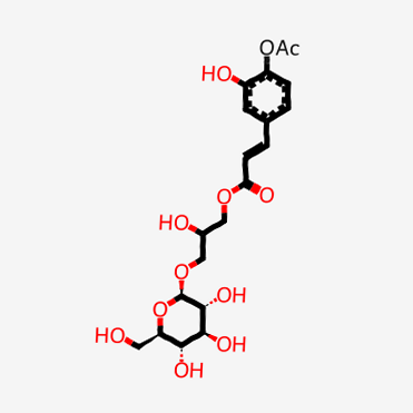 CC(=O)Oc1ccc(/C=C/C(=O)OCC(O)CO[C@@H]2O[C@H](CO)[C@@H](O)[C@H](O)[C@H]2O)cc1O